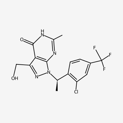 Cc1nc2c(c(CO)nn2[C@H](C)c2ccc(C(F)(F)F)cc2Cl)c(=O)[nH]1